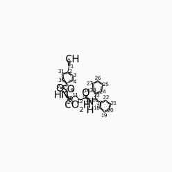 C#Cc1ccc(S(=O)(=O)N[C@H](CCC(=O)NC(c2ccccc2)c2ccccc2)C(=O)O)cc1